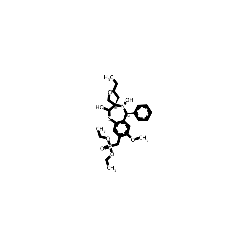 CCCC[C@]1(CC)C(O)Sc2cc(CP(=O)(OCC)OCC)c(OC)cc2[C@H](c2ccccc2)N1O